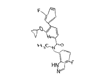 CN(Cc1ccc(F)c2cn[nH]c12)C(=O)c1ccc(-c2cccc(F)c2)c(OC2CC2)n1